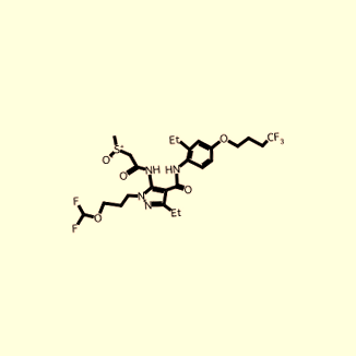 CCc1cc(OCCCC(F)(F)F)ccc1NC(=O)c1c(CC)nn(CCCOC(F)F)c1NC(=O)C[S+](C)[O-]